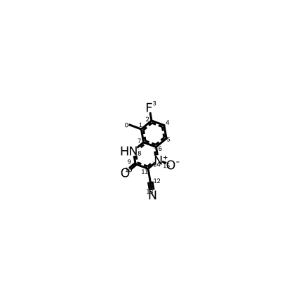 Cc1c(F)ccc2c1[nH]c(=O)c(C#N)[n+]2[O-]